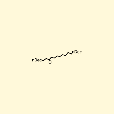 CCCCCCCCCCCCCCCCCCC(=O)CCCCCCCCCCCC